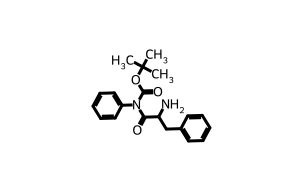 CC(C)(C)OC(=O)N(C(=O)C(N)Cc1ccccc1)c1ccccc1